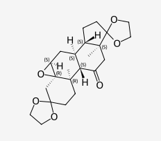 C[C@]12CC(=O)[C@H]3[C@@H](C[C@@H]4O[C@@]45CC4(CC[C@]35C)OCCO4)[C@@H]1CCC21OCCO1